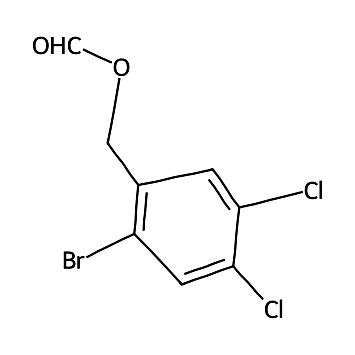 O=COCc1cc(Cl)c(Cl)cc1Br